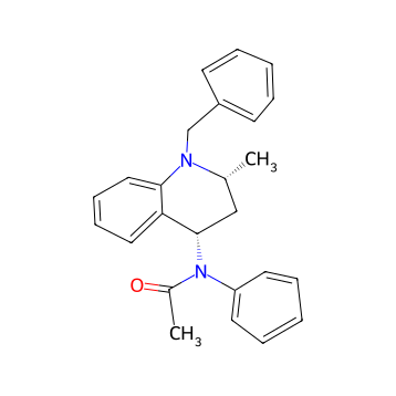 CC(=O)N(c1ccccc1)[C@H]1C[C@@H](C)N(Cc2ccccc2)c2ccccc21